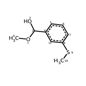 COC(O)c1cccc(SC)c1